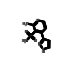 Cc1nccc(-c2cc[nH]n2)c1S(N)(=O)=O